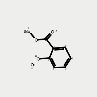 CC(C)(C)OC(=O)c1ccccc1O.[Zn]